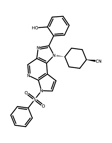 N#C[C@H]1CC[C@H](n2c(-c3ccccc3O)nc3cnc4c(ccn4S(=O)(=O)c4ccccc4)c32)CC1